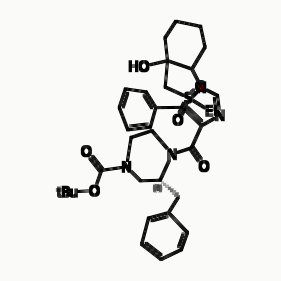 CCS(=O)(=O)CC1(O)CCCCC1n1cnc(C(=O)N2CCN(C(=O)OC(C)(C)C)C[C@H]2Cc2ccccc2)c1-c1ccccc1